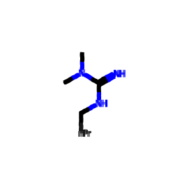 CCCCNC(=N)N(C)C